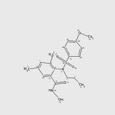 CCCN(c1c(C)cc(C)cc1C(=O)NO)S(=O)(=O)c1ccc(OC)cc1